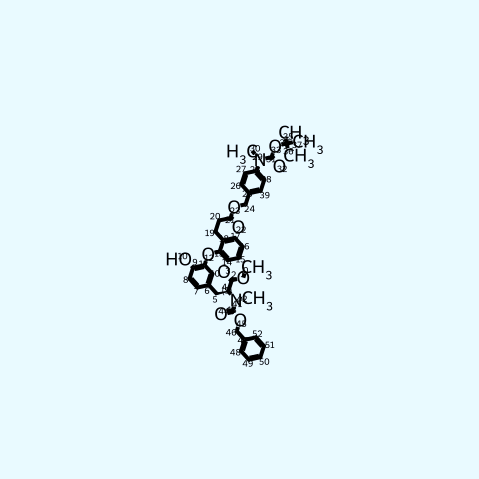 COC(=O)[C@H](Cc1ccc(O)c(Oc2ccccc2CCC(=O)OCc2ccc(N(C)C(=O)OC(C)(C)C)cc2)c1)N(C)C(=O)OCc1ccccc1